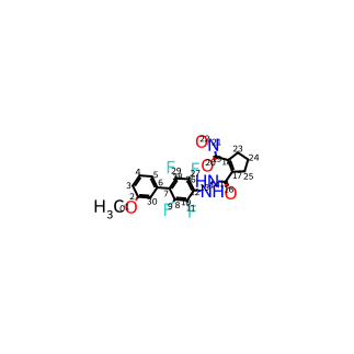 COc1cccc(-c2c(F)c(F)c(NNC(=O)C3=C(C(=O)N=O)CCC3)c(F)c2F)c1